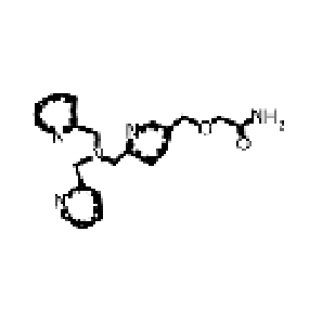 NC(=O)COCc1ccc(CN(Cc2ccccn2)Cc2ccccn2)nc1